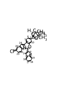 CC1(C)OB(c2ccc3c(c2)OC(c2cc4ccccc4s2)n2c-3cc3cc(Cl)ccc32)OC1(C)C